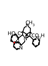 CN1CC2(C(=O)O)C(=O)C(C(=O)O)(C1)C(c1ccccn1)N(Cc1ccccn1)C2c1ccccn1